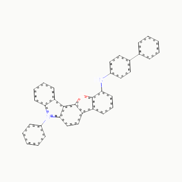 c1ccc(-c2ccc(Nc3cccc4c3oc3c4ccc4c3c3ccccc3n4-c3ccccc3)cc2)cc1